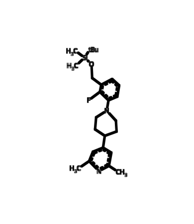 Cc1cc(C2CCN(c3cccc(CO[Si](C)(C)C(C)(C)C)c3F)CC2)cc(C)n1